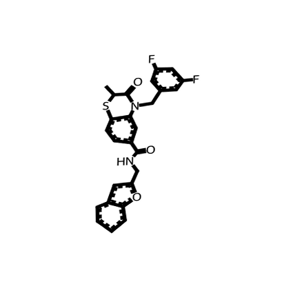 CC1Sc2ccc(C(=O)NCc3cc4ccccc4o3)cc2N(Cc2cc(F)cc(F)c2)C1=O